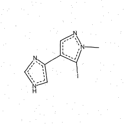 Cn1ncc(-c2c[nH]cn2)c1I